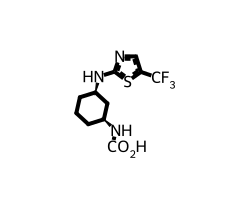 O=C(O)N[C@H]1CCC[C@@H](Nc2ncc(C(F)(F)F)s2)C1